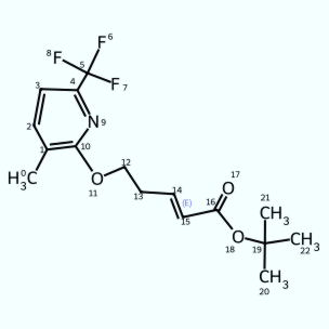 Cc1ccc(C(F)(F)F)nc1OCC/C=C/C(=O)OC(C)(C)C